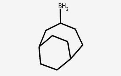 BC1CCC2CCC(CC2)C1